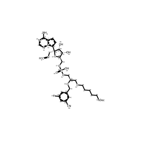 C=NC[C@@]1(c2ccc3c(N)ncnn23)O[C@H](COP(=O)(O)OC[C@@H](COCCCCCCCCCCCCCCC)OCc2cc(F)cc(C#N)c2)[C@@H](O)[C@H]1O